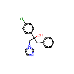 OC(Cc1ccccc1)(Cn1ccnc1)c1ccc(Cl)cc1